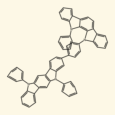 c1ccc(-n2c3ccccc3c3cc4c(cc32)c2ccc(-c3ccc(-n5c6ccccc6c6ccc7c8ccccc8n(-c8ccccc8)c7c65)cc3)cc2n4-c2ccccc2)cc1